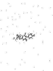 O=S(=O)(Oc1cc(F)c(-c2ccc(F)nc2)c(F)c1)C(F)(F)F